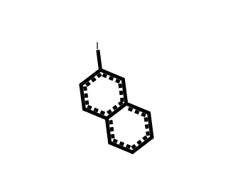 Ic1ccc2ccccc2c1